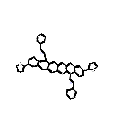 C(=C\c1c2ccc(-c3cccs3)cc2cc2cc3cc4c(/C=C/c5ccccc5)c5ccc(-c6cccs6)cc5cc4cc3cc12)/c1ccccc1